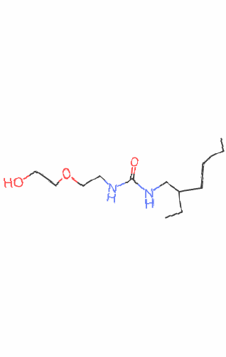 CCCCC(CC)CNC(=O)NCCOCCO